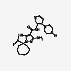 CCN1CCN(c2ccncc2NC(=O)c2c(N)nn3c2NCC(F)C32CCCCCCC2)CC1